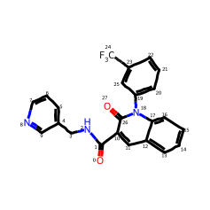 O=C(NCc1cccnc1)c1cc2ccccc2n(-c2cccc(C(F)(F)F)c2)c1=O